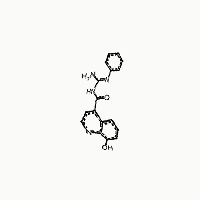 NC(=Nc1ccccc1)NC(=O)c1ccnc2c(O)cccc12